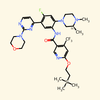 C[C@H]1CN(c2cc(F)c(-c3ccnc(N4CCOCC4)n3)cc2NC(=O)c2cnc(OCC[Si](C)(C)C)cc2C(F)(F)F)CCN1C